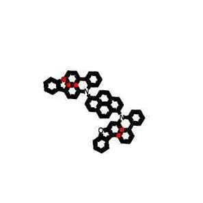 c1ccc(-c2ccccc2N(c2ccc3c(c2)oc2ccccc23)c2ccc3ccc4c(N(c5ccc6c(c5)oc5ccccc56)c5ccccc5-c5ccccc5)ccc5ccc2c3c54)cc1